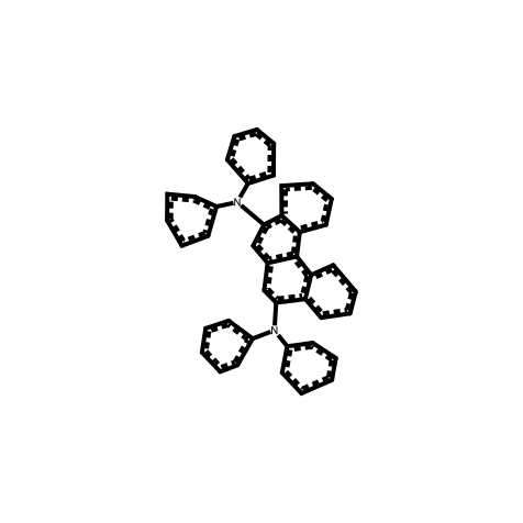 c1ccc(N(c2ccccc2)c2cc3cc(N(c4ccccc4)c4ccccc4)c4ccccc4c3c3ccccc23)cc1